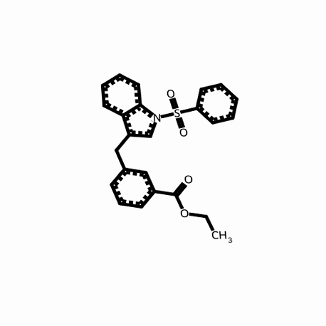 CCOC(=O)c1cccc(Cc2cn(S(=O)(=O)c3ccccc3)c3ccccc23)c1